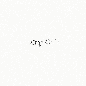 COc1ccc(CC(=O)c2cc3ccc(O)cc3sc2=O)cc1